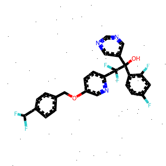 OC(c1cncnc1)(c1ccc(F)cc1F)C(F)(F)c1ccc(OCc2ccc(C(F)F)cc2)cn1